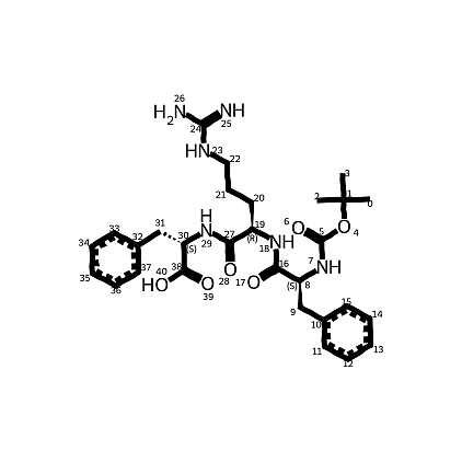 CC(C)(C)OC(=O)N[C@@H](Cc1ccccc1)C(=O)N[C@H](CCCNC(=N)N)C(=O)N[C@@H](Cc1ccccc1)C(=O)O